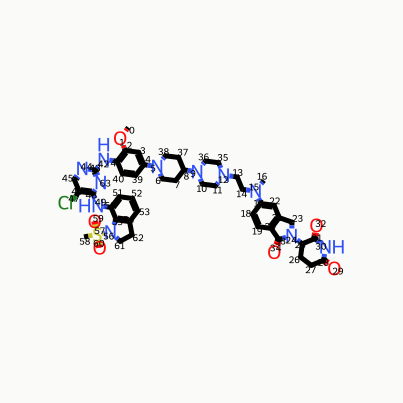 COc1cc(N2CCC(N3CCN(CCN(C)c4ccc5c(c4)CN(C4CCC(=O)NC4=O)C5=O)CC3)CC2)ccc1Nc1ncc(Cl)c(Nc2cccc3c2N(S(C)(=O)=O)CC3)n1